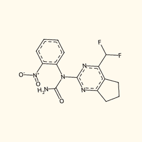 NC(=O)N(c1nc2c(c(C(F)F)n1)CCC2)c1ccccc1[N+](=O)[O-]